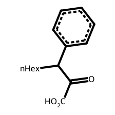 CCCCCCC(C(=O)C(=O)O)c1ccccc1